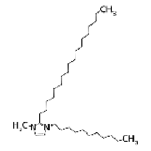 CCCCCCCCCCCCCCCCCCc1n(C)cc[n+]1CCCCCCCCCCC